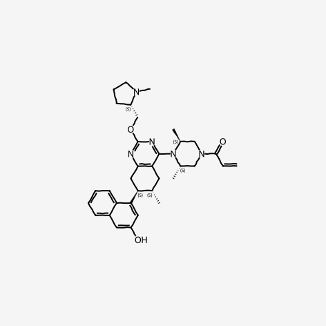 C=CC(=O)N1C[C@H](C)N(c2nc(OC[C@@H]3CCCN3C)nc3c2C[C@H](C)[C@@H](c2cc(O)cc4ccccc24)C3)[C@@H](C)C1